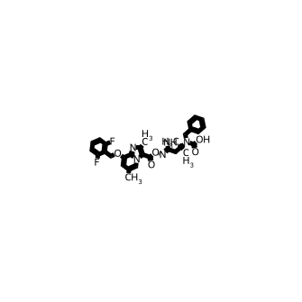 Cc1cc(OCc2c(F)cccc2F)c2nc(C)c(C(=O)O/N=C(\N)CC(C)(C)N(Cc3ccccc3)C(=O)O)n2c1